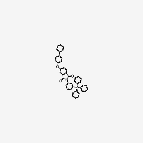 O=C1c2ccc(Oc3ccc(-c4ccccc4)cc3)cc2C(=O)N1c1cccc([PH](c2ccccc2)(c2ccccc2)c2ccccc2)c1